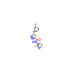 CC1C(NC(=O)c2nnc(Sc3cccc(F)c3)s2)C2CCN1CC2